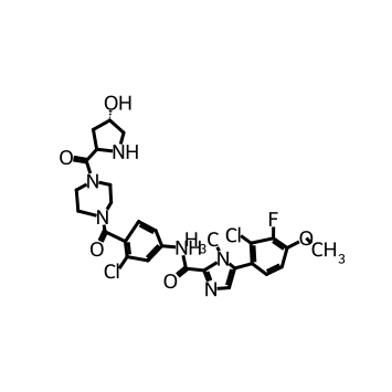 COc1ccc(-c2cnc(C(=O)Nc3ccc(C(=O)N4CCN(C(=O)C5C[C@H](O)CN5)CC4)c(Cl)c3)n2C)c(Cl)c1F